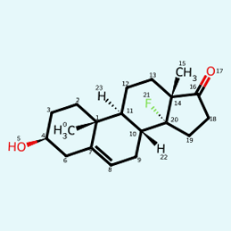 C[C@]12CC[C@H](O)CC1=CC[C@@H]1[C@@H]2CC[C@]2(C)C(=O)CC[C@@]12F